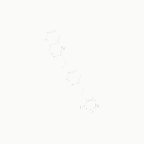 c1ccc2nc(COc3ccc(CCc4nnn[nH]4)cc3)ccc2c1